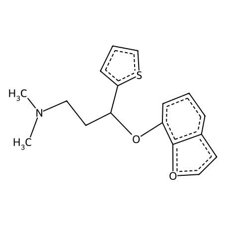 CN(C)CCC(Oc1cccc2ccoc12)c1cccs1